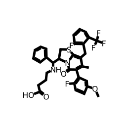 COc1ccc(F)c(-c2c(C)c(Cc3c(F)cccc3C(F)(F)F)c3n(c2=O)C(C(NCCCC(=O)O)c2ccccc2)CS3)c1